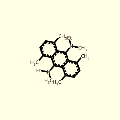 CCN(C)c1c2c(C)ccc(C)c2c(N(C)CC)c2c(C)ccc(C)c12